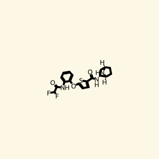 O=C(N[C@@H]1C[C@H]2CC[C@@H]1N2)c1ccc(Oc2ccccc2NC(=O)C(F)F)s1